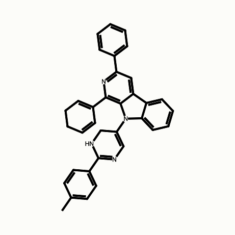 Cc1ccc(C2=NC=C(n3c4ccccc4c4cc(-c5ccccc5)nc(C5=CCCC=C5)c43)CN2)cc1